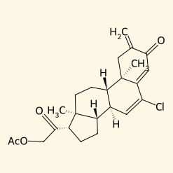 C=C1C[C@@]2(C)C(=CC1=O)C(Cl)=C[C@H]1[C@@H]3CC[C@H](C(=O)COC(C)=O)[C@@]3(C)CC[C@@H]12